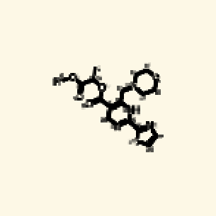 CC(C)OC(=O)[C@@H](C)OC(=O)C1=C(CN2CCOCC2)NC(c2nccs2)=NC1